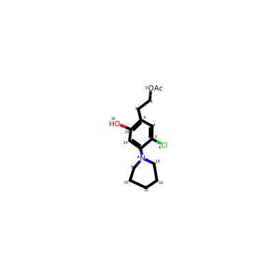 CC(=O)OCCc1cc(Cl)c(N2CCCCC2)cc1O